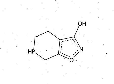 Oc1noc2c1CCPC2